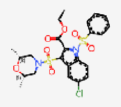 CCOC(=O)c1c(S(=O)(=O)N2C[C@@H](C)O[C@@H](C)C2)c2cc(Cl)ccc2n1S(=O)(=O)c1ccccc1